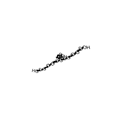 Cc1ccc(S(=O)(=O)O)cc1.OCCOCCOCCOCCOCCOCCOCCOCCOCCOCCOCCOCCO